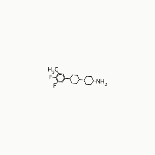 Cc1cc(C2CCC(C3CCC(N)CC3)CC2)cc(F)c1F